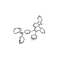 c1ccc(N(c2ccccc2)c2ccc(-c3c(-c4ccncc4)c4ccccc4c4c3ccc3c5ccccc5oc34)cc2)cc1